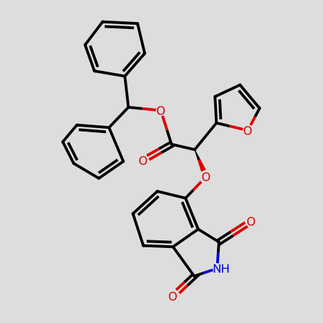 O=C1NC(=O)c2c(O[C@@H](C(=O)OC(c3ccccc3)c3ccccc3)c3ccco3)cccc21